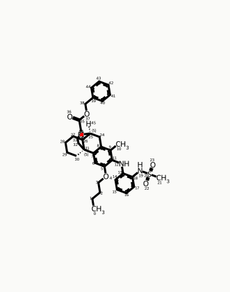 CCCCOc1cc2c(c(C)c1Nc1ccccc1NS(C)(=O)=O)C[C@H]1[C@H]3CCCC[C@@]23CCN1C(=O)OCc1ccccc1